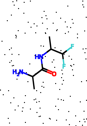 CC(N)C(=O)NC(C)C(F)F